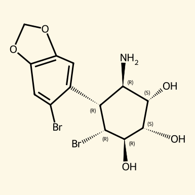 N[C@H]1[C@H](O)[C@H](O)[C@@H](O)[C@H](Br)[C@@H]1c1cc2c(cc1Br)OCO2